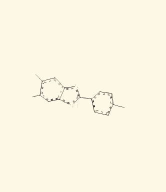 Cc1cc2nc(-c3ccc(O)cc3)[nH]c2cc1C.Cl